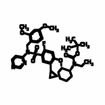 CCN(C(=O)OC(C)(C)C)[C@H]1CCCC[C@@H]1Oc1cc(F)c(S(=O)(=O)N(Cc2ccc(OC)cc2OC)c2ccncn2)cc1C1CC1